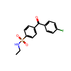 CCNS(=O)(=O)c1ccc(C(=O)c2ccc(F)cc2)cc1